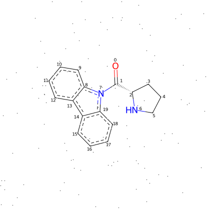 O=C([C@@H]1CCCN1)n1c2ccccc2c2ccccc21